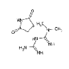 CN(C)C(=N)NC(=N)N.O=C1CSC(=O)N1